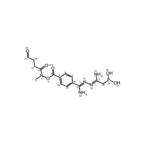 CN(OC(=O)c1ccc(/C(N)=N/N=C(\N)CP(O)O)cc1)C(=O)CCC=O